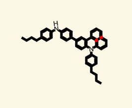 CCCCc1ccc(Nc2ccc(-c3ccc(N(c4ccccc4)c4ccc(CCCC)cc4)c(-c4ccccc4)c3)cc2)cc1